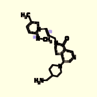 C/N=c1/ccc(C)cn1/C=C/Cn1ccc2c(N3CCC(CN)CC3)cncc2c1=O